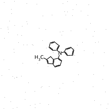 CC1=Cc2cccc(N(c3ccccc3)c3ccccc3)c2C1